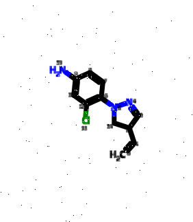 C=CC1C=NN(c2ccc(N)cc2Cl)C1